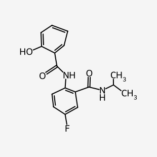 CC(C)NC(=O)c1cc(F)ccc1NC(=O)c1ccccc1O